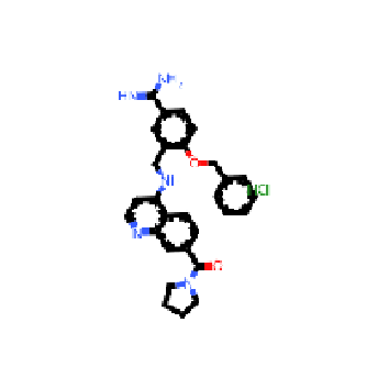 Cl.N=C(N)c1ccc(OCc2ccccc2)c(CNc2ccnc3cc(C(=O)N4CCCC4)ccc23)c1